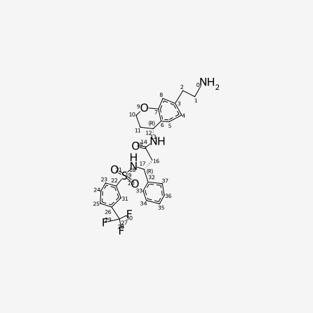 NCCc1ccc2c(c1)OCC[C@H]2NC(=O)C[C@@H](NS(=O)(=O)c1cccc(C(F)(F)F)c1)c1ccccc1